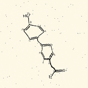 CCC(=O)c1ccc(-c2ccc(O)cc2)cc1